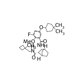 COc1c(F)cc(OC2CCC(C)(C)CC2)cc1C(=O)N[C@@H]1[C@H]2CC[C@H](C2)[C@@H]1C(=O)NCC1(C)CCC1